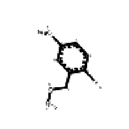 COc1ccc(F)c(CON)c1